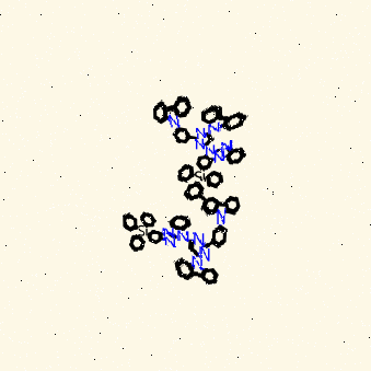 c1ccc([Si](c2ccccc2)(c2ccccc2)c2ccc3nc4n(-c5cc(-n6c7ccccc7c7ccccc76)nc(-c6cccc(-n7c8ccccc8c8cc(-c9cccc([Si](c%10ccccc%10)(c%10ccccc%10)c%10ccc%11c(c%10)n%10c%12ccccc%12nc%10n%11-c%10cc(-n%11c%12ccccc%12c%12ccccc%12%11)nc(-c%11cccc(-n%12c%13ccccc%13c%13ccccc%13%12)c%11)n%10)c9)ccc87)c6)n5)c5ccccc5n4c3c2)cc1